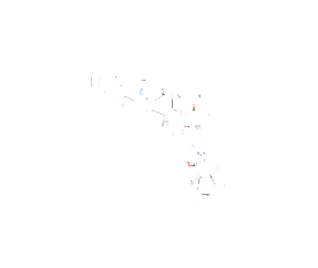 C=C/C(Cl)=C\N(C)c1cc(C)c(C2C(=O)CC(CCNC(=O)c3ncccc3F)C2=O)c(C)c1